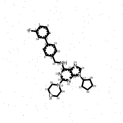 Fc1cccc(-c2ccc(CNc3nc(N4CCOCC4)nc4c3ncn4C3CCCC3)cc2)c1